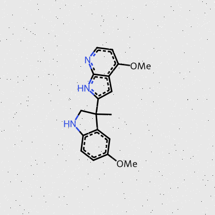 COc1ccc2c(c1)C(C)(c1cc3c(OC)ccnc3[nH]1)CN2